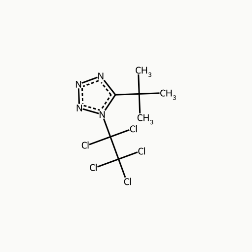 CC(C)(C)c1nnnn1C(Cl)(Cl)C(Cl)(Cl)Cl